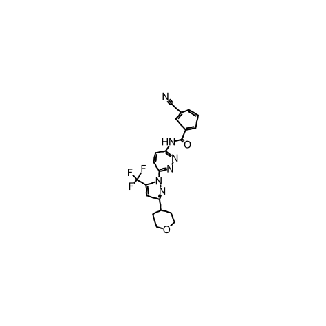 N#Cc1cccc(C(=O)Nc2ccc(-n3nc(C4CCOCC4)cc3C(F)(F)F)nn2)c1